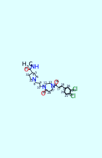 CNC(=O)C1CCN(CCCN2CCN(C(=O)/C=C/c3ccc(Cl)c(Cl)c3)CCC2=O)CC1